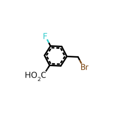 O=C(O)c1cc(F)cc(CBr)c1